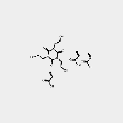 C=CC(=O)O.C=CC(=O)O.C=CC(=O)O.O=c1n(CCO)c(=O)n(CCO)c(=O)n1CCO